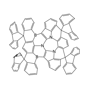 c1ccc2c(c1)B1c3c(cc4c5c3-n3c6c1c1cccc7c1n6c1c(ccc6c1n1c8c(cccc8c(c31)B5c1ccccc1C41c3ccccc3-c3ccccc31)C61c3ccccc3-c3ccccc31)C71c3ccccc3-c3ccccc31)C21c2ccccc2-c2ccccc21